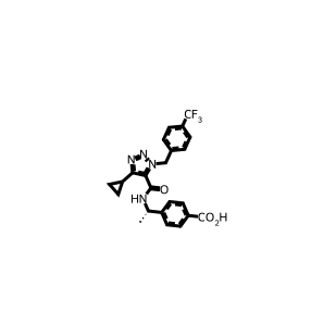 C[C@H](NC(=O)c1c(C2CC2)nnn1Cc1ccc(C(F)(F)F)cc1)c1ccc(C(=O)O)cc1